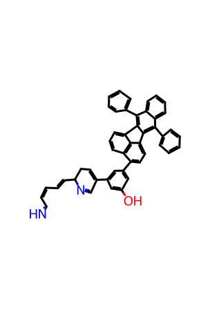 N=C/C=C\C=C\C1CC=C(c2cc(O)cc(-c3ccc4c5c(cccc35)-c3c-4c(-c4ccccc4)c4ccccc4c3-c3ccccc3)c2)C=N1